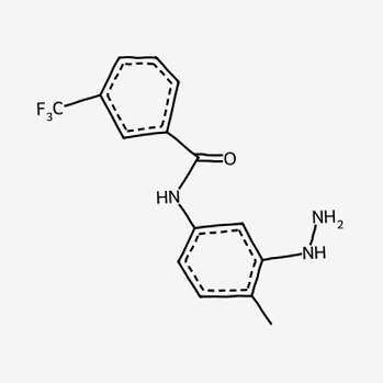 Cc1ccc(NC(=O)c2cccc(C(F)(F)F)c2)cc1NN